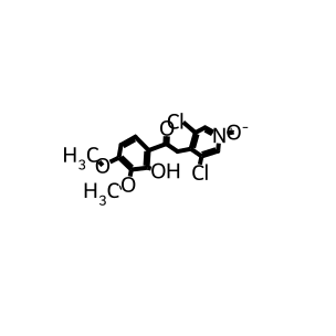 COc1ccc(C(=O)Cc2c(Cl)c[n+]([O-])cc2Cl)c(O)c1OC